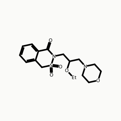 CCOC(CN1CCOCC1)CN1C(=O)c2ccccc2CS1(=O)=O